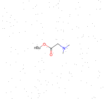 CCCCOC(=O)C[N+](C)C